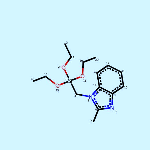 CCO[Si](Cn1c(C)nc2ccccc21)(OCC)OCC